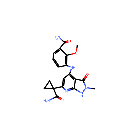 COc1c(Nc2cc(C3(C(N)=O)CC3)nc3[nH]n(C)c(=O)c23)cccc1C(N)=O